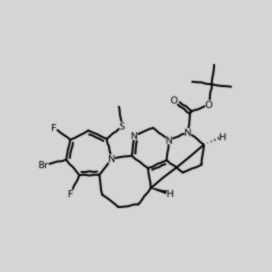 CSC1=CC(F)=C(Br)C(F)=C2CCC[C@@H]3C4=C5CC[C@@H]3N(C(=O)OC(C)(C)C)N5CN=C4N12